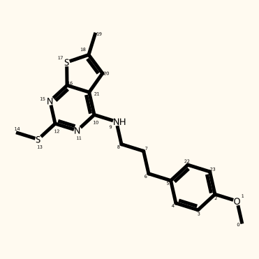 COc1ccc(CCCNc2nc(SC)nc3sc(C)cc23)cc1